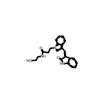 O=C(CCn1cc(/C=C2\C(=O)Nc3ccccc32)c2ccccc21)NCCO